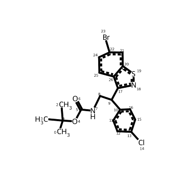 CC(C)(C)OC(=O)NCC(c1ccc(Cl)cc1)c1nsc2cc(Br)ccc12